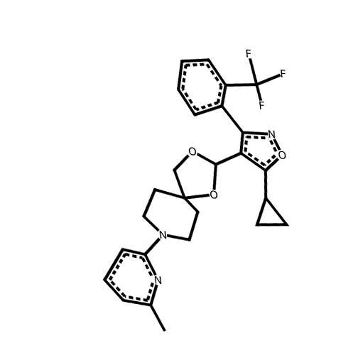 Cc1cccc(N2CCC3(CC2)COC(c2c(-c4ccccc4C(F)(F)F)noc2C2CC2)O3)n1